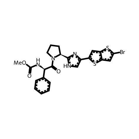 COC(=O)N[C@@H](C(=O)N1CCC[C@H]1c1nc(-c2cc3sc(Br)cc3s2)c[nH]1)c1ccccc1